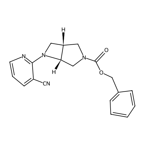 N#Cc1cccnc1N1C[C@@H]2CN(C(=O)OCc3ccccc3)C[C@@H]21